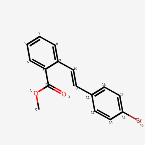 COC(=O)c1ccccc1C=Cc1ccc(Br)cc1